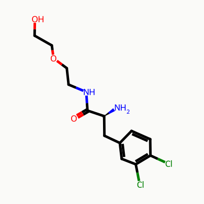 N[C@@H](Cc1ccc(Cl)c(Cl)c1)C(=O)NCCOCCO